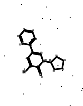 O=c1c(Br)cc(-c2ccccn2)cn1C1CCCC1